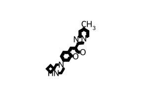 Cc1ccn2cc(-c3cc4ccc(N5CCNC6(CCC6)C5)cc4oc3=O)nc2c1